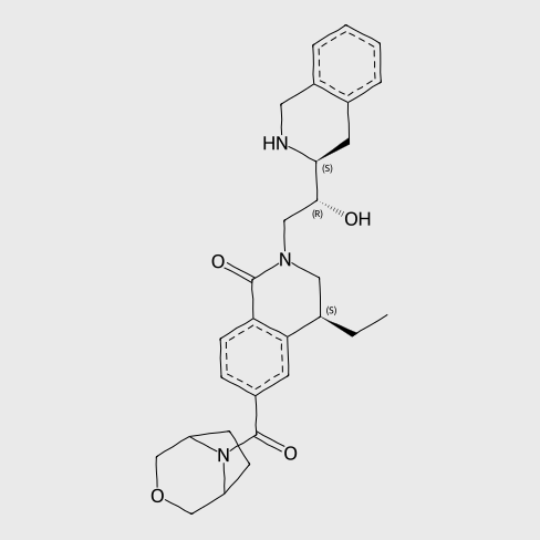 CC[C@@H]1CN(C[C@@H](O)[C@@H]2Cc3ccccc3CN2)C(=O)c2ccc(C(=O)N3C4CCC3COC4)cc21